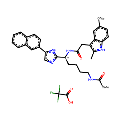 COC(=O)NCCCC[C@H](NC(=O)Cc1c(C)[nH]c2ccc(OC)cc12)c1ncc(-c2ccc3ccccc3c2)[nH]1.O=C(O)C(F)(F)F